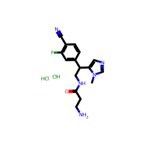 Cl.Cl.Cn1cncc1C(CNC(=O)CCN)c1ccc(C#N)c(F)c1